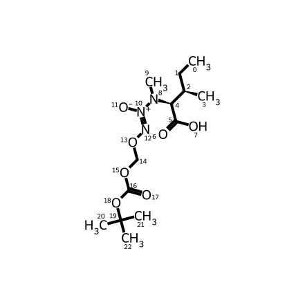 CC[C@@H](C)[C@@H](C(=O)O)N(C)/[N+]([O-])=N/OCOC(=O)OC(C)(C)C